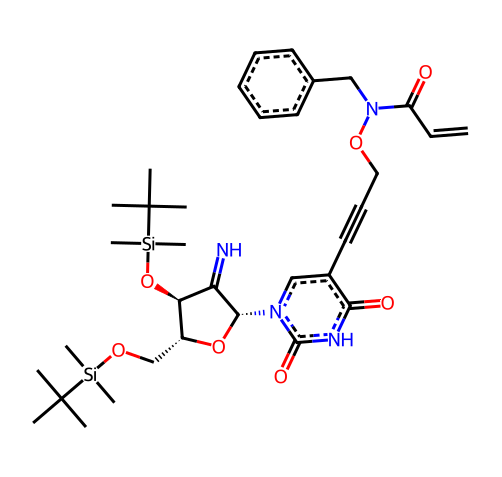 C=CC(=O)N(Cc1ccccc1)OCC#Cc1cn([C@@H]2O[C@H](CO[Si](C)(C)C(C)(C)C)[C@@H](O[Si](C)(C)C(C)(C)C)C2=N)c(=O)[nH]c1=O